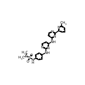 Cc1cccc(-c2nccc(Nc3ccnc(Nc4ccc(NS(=O)(=O)N(C)C)cc4)n3)n2)n1